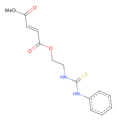 COC(=O)/C=C/C(=O)OCCNC(=S)Nc1ccccc1